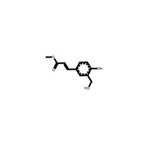 COC(=O)/C=C/c1ccc(O)c(CO)c1